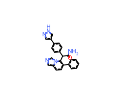 NC(=O)C(c1ccc(-c2cn[nH]c2)cc1)c1c(-c2ccccc2)ccc2cncn12